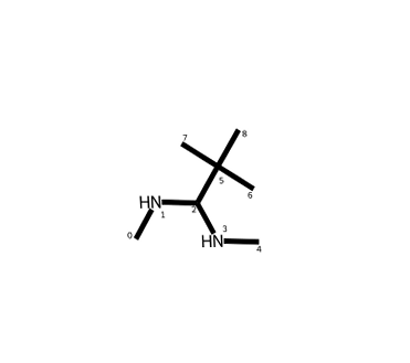 CNC(NC)C(C)(C)C